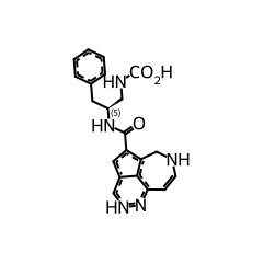 O=C(O)NC[C@H](Cc1ccccc1)NC(=O)c1cc2c[nH]nc3c-2c1CNC=C3